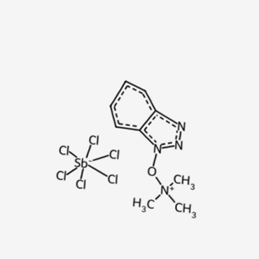 C[N+](C)(C)On1nnc2ccccc21.[Cl][Sb-]([Cl])([Cl])([Cl])([Cl])[Cl]